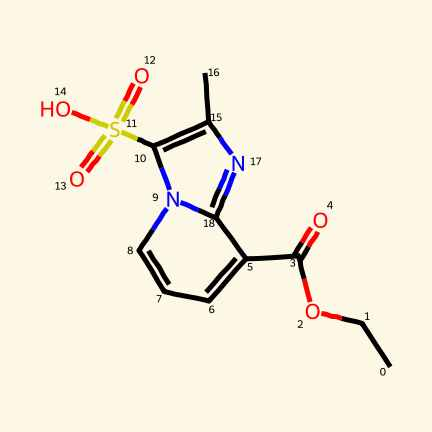 CCOC(=O)c1cccn2c(S(=O)(=O)O)c(C)nc12